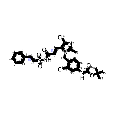 Cc1nc(Cl)c(/C=C/C(=O)NS(=O)(=O)/C=C/c2ccccc2)n1Cc1ccc(NC(=O)OC(C)(C)C)cc1Cl